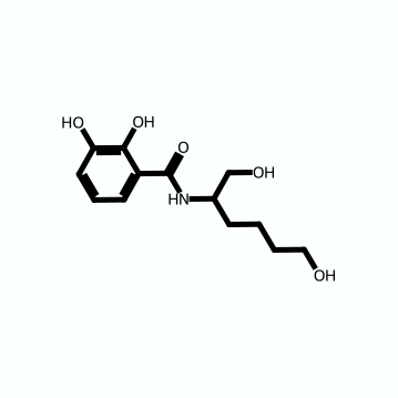 O=C(NC(CO)CCCCO)c1cccc(O)c1O